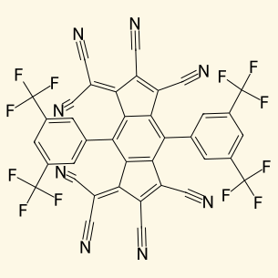 N#CC(C#N)=C1C(C#N)=C(C#N)c2c1c(-c1cc(C(F)(F)F)cc(C(F)(F)F)c1)c1c(c2-c2cc(C(F)(F)F)cc(C(F)(F)F)c2)C(C#N)=C(C#N)C1=C(C#N)C#N